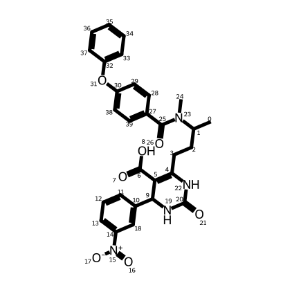 CC(CCC1=C(C(=O)O)C(c2cccc([N+](=O)[O-])c2)NC(=O)N1)N(C)C(=O)c1ccc(Oc2ccccc2)cc1